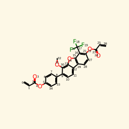 C=CC(=O)Oc1ccc(-c2ccc3c(oc4c(C(F)(F)F)c(OC(=O)C=C)ccc43)c2OC)cc1